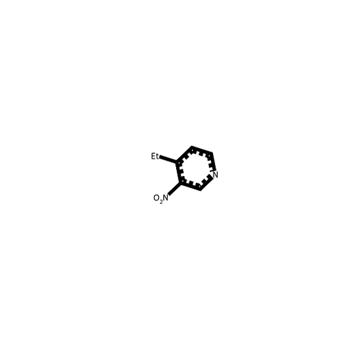 CCc1ccncc1[N+](=O)[O-]